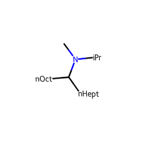 CCCCCCCCC(CCCCCCC)N(C)C(C)C